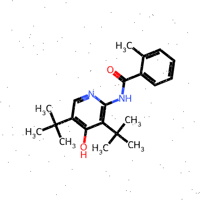 Cc1ccccc1C(=O)Nc1ncc(C(C)(C)C)c(O)c1C(C)(C)C